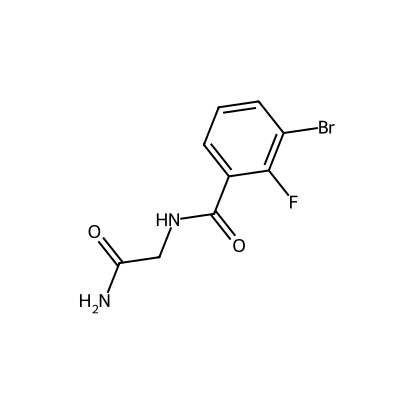 NC(=O)CNC(=O)c1cccc(Br)c1F